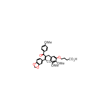 COc1ccc(C(=O)/C(Cc2cc(OC)c(OC)c(OCCCC(=O)O)c2)=C(/C(=O)O)c2ccc3c(c2)OCO3)cc1